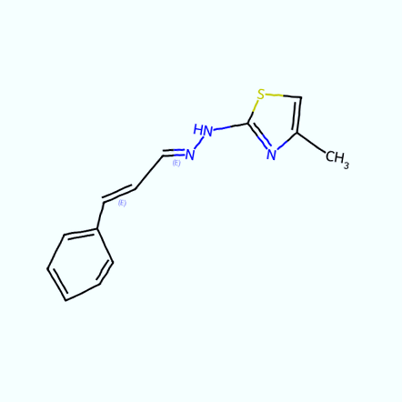 Cc1csc(N/N=C/C=C/c2ccccc2)n1